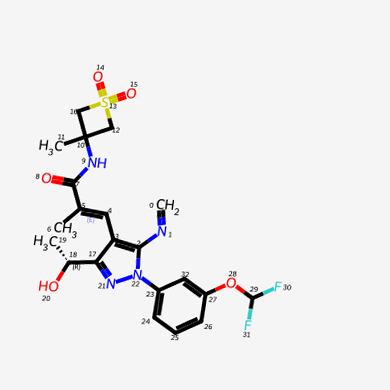 C=Nc1c(/C=C(\C)C(=O)NC2(C)CS(=O)(=O)C2)c([C@@H](C)O)nn1-c1cccc(OC(F)F)c1